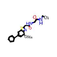 COc1cc(-c2ccccc2)cc2sc(CC(=O)NCC(=O)NCC#N)nc12